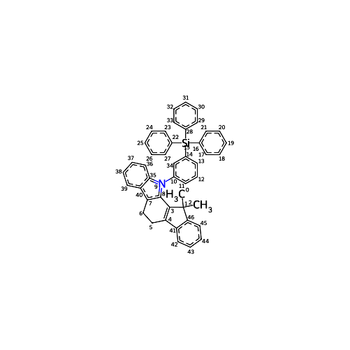 CC1(C)C2=C(CCc3c2n(-c2cccc([Si](c4ccccc4)(c4ccccc4)c4ccccc4)c2)c2ccccc32)c2ccccc21